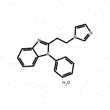 O.c1ccc(-n2c(CCn3ccnc3)nc3ccccc32)cc1